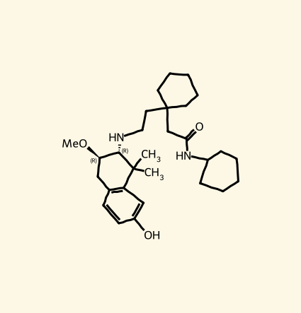 CO[C@@H]1Cc2ccc(O)cc2C(C)(C)[C@H]1NCCC1(CC(=O)NC2CCCCC2)CCCCC1